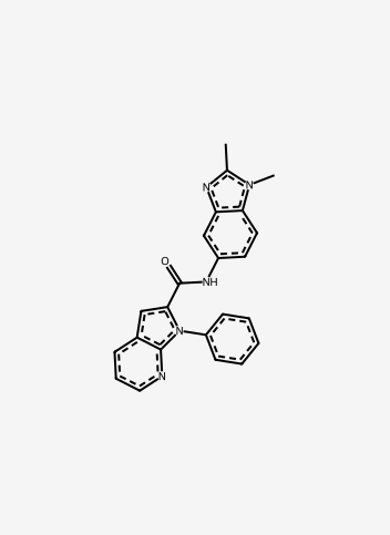 Cc1nc2cc(NC(=O)c3cc4cccnc4n3-c3ccccc3)ccc2n1C